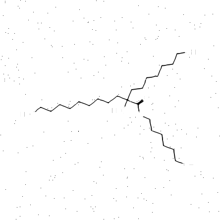 CCCCCCCCCCC(C)(CCCCCCCC)C(=O)OCCCCCCC